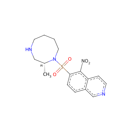 C[C@@H]1CNCCCCN1S(=O)(=O)c1ccc2cnccc2c1[N+](=O)[O-]